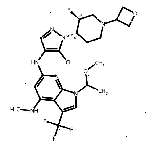 CNc1cc(Nc2cnn([C@H]3CCN(C4COC4)C[C@@H]3F)c2Cl)nc2c1c(C(F)(F)F)cn2C(C)OC